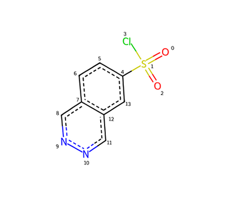 O=S(=O)(Cl)c1ccc2cnncc2c1